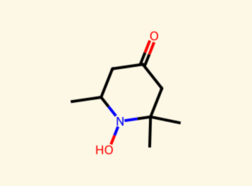 CC1CC(=O)CC(C)(C)N1O